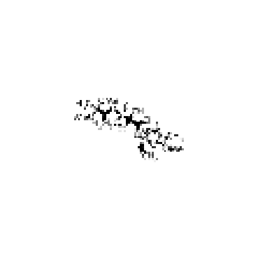 C=C[Si](C)(OC(C)C(C)(CC)[Si](C)(C)OC(C)[Si](C)(OC)OC)O[Si](C)(OC)OC